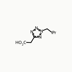 CC(C)Cn1nnc(CC(=O)O)n1